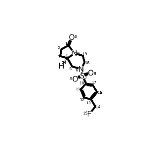 O=C1CC[C@@H]2CN(S(=O)(=O)c3ccc(CF)cc3)CCN12